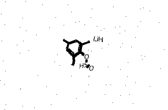 Cc1cc(C)c(O[SH]=O)c(C)c1.[LiH]